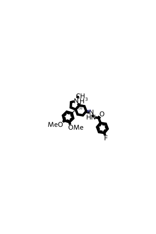 COc1ccc([C@@]23CC/C(=N\NC(=O)c4ccc(F)cc4)C[C@@H]2N(C)CC3)cc1OC